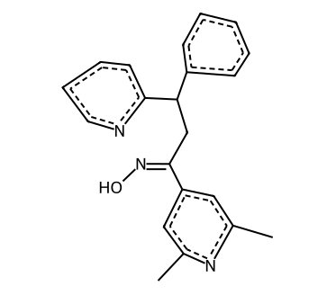 Cc1cc(C(CC(c2ccccc2)c2ccccn2)=NO)cc(C)n1